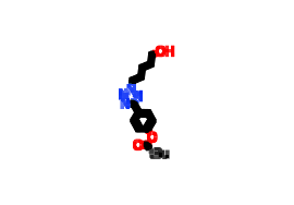 CC(C)(C)C(=O)Oc1ccc(-c2nnn(CCCCCO)n2)cc1